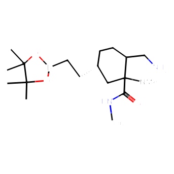 CCCCNC(=O)C1(NC)C[C@H](CCB2OC(C)(C)C(C)(C)O2)CCC1CN